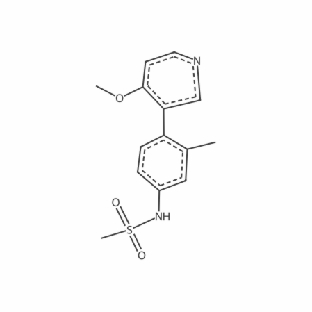 COc1ccncc1-c1ccc(NS(C)(=O)=O)cc1C